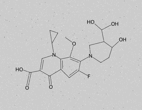 COc1c(N2CCC(O)C(C(O)O)C2)c(F)cc2c(=O)c(C(=O)O)cn(C3CC3)c12